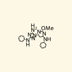 COc1nc(Nc2ccccc2)cc(-n2nc(Nc3ccccc3)nc2N)n1